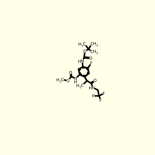 COC(=O)Nc1cc(NC(=O)OC(C)(C)C)c(F)cc1C(C)C(=O)NCC(F)(F)F